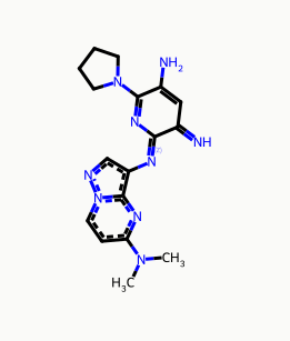 CN(C)c1ccn2ncc(/N=C3\N=C(N4CCCC4)C(N)=CC3=N)c2n1